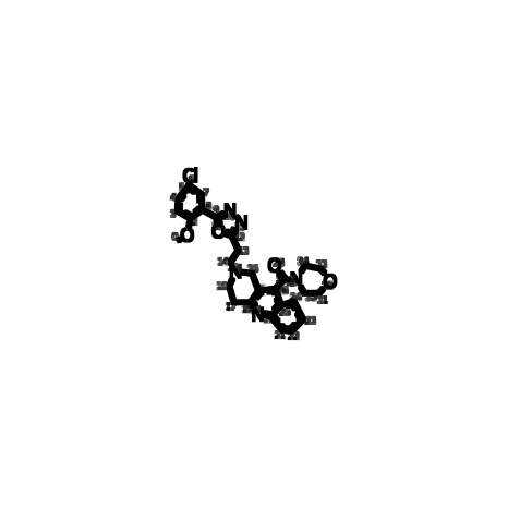 COc1ccc(Cl)cc1-c1nnc(CCN2CCc3nc4ccccc4c(C(=O)N4CCOCC4)c3C2)o1